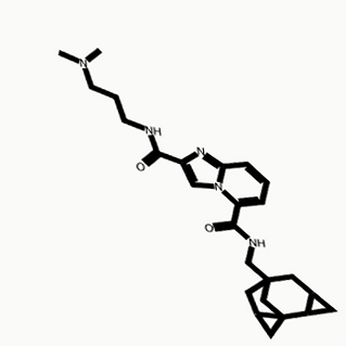 CN(C)CCCNC(=O)c1cn2c(C(=O)NCC34CC5CC5C5(CC5C3)C4)cccc2n1